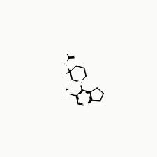 CC1(NC(=O)O)CCCN(c2c([N+](=O)[O-])cnc3c2CCC3)C1